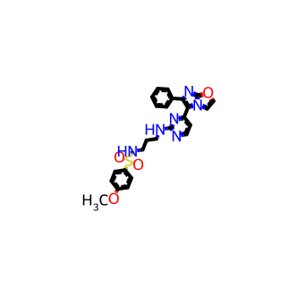 COc1ccc(S(=O)(=O)NCCCNc2nccc(-c3c(-c4ccccc4)nc4occn34)n2)cc1